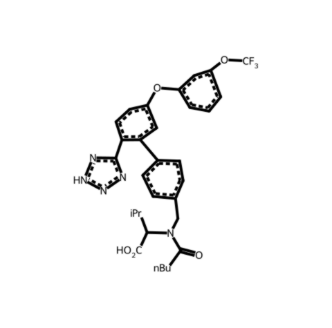 CCCCC(=O)N(Cc1ccc(-c2cc(Oc3cccc(OC(F)(F)F)c3)ccc2-c2nn[nH]n2)cc1)C(C(=O)O)C(C)C